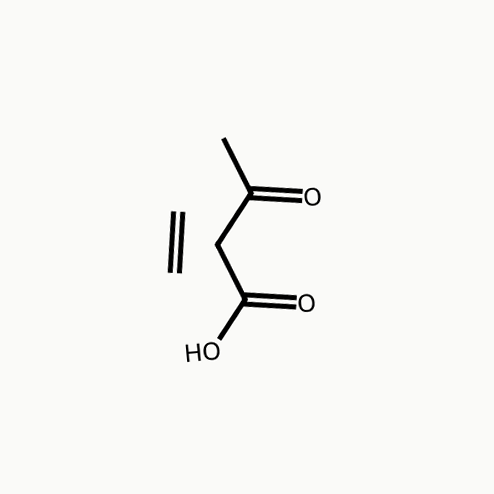 C=C.CC(=O)CC(=O)O